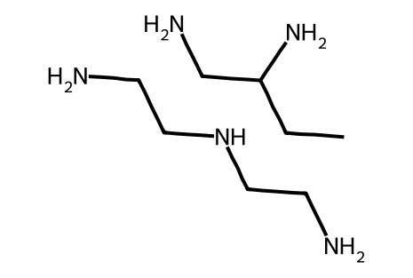 CCC(N)CN.NCCNCCN